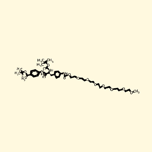 COCCOCCOCCOCCOCCOCCOCCOC(=O)Nc1ccc(C[C@H](NC(=O)OC(C)(C)C)C(=O)Nc2ccc(C(=O)OC(C)(C)C)cc2)cc1